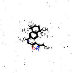 COCc1cc(/C=C(/C)c2ccc3c(c2)C(C)(C)CCC3(C)C)on1